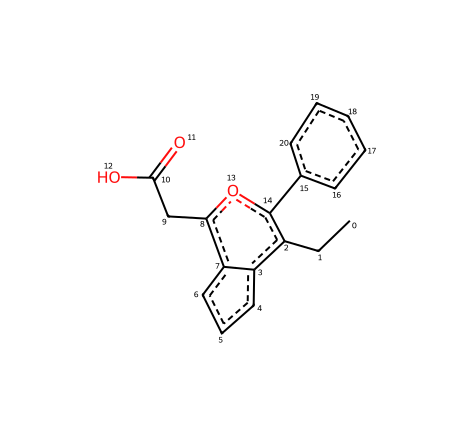 CCc1c2cccc-2c(CC(=O)O)oc1-c1ccccc1